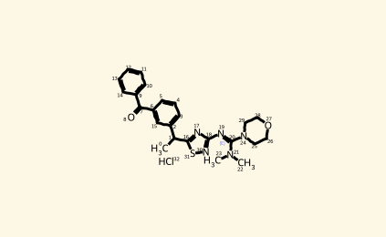 CC(c1cccc(C(=O)c2ccccc2)c1)c1nc(/N=C(\N(C)C)N2CCOCC2)ns1.Cl